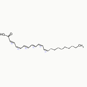 CCCCCCCCC\C=C/C=C\C=C\C=C\C=C/C=C/C(=O)O